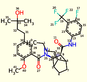 CCC/C=C1\C2CCC1[C@H](C(=O)Nc1ccc(F)c(C(F)(F)F)c1)[C@@H]2NC(=O)c1cc(CCC(C)(C)O)ccc1OC